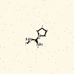 CNC(=N)N1CCCC1